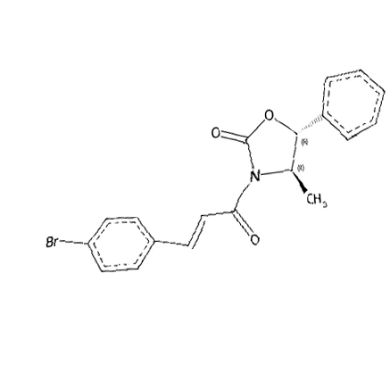 C[C@@H]1[C@@H](c2ccccc2)OC(=O)N1C(=O)C=Cc1ccc(Br)cc1